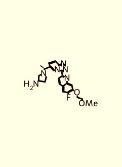 COCCOc1cc2nc(-c3nnc4ccc([C@H](C)N5CC[C@H](N)C5)cn34)ccc2cc1F